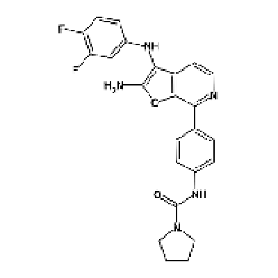 Nc1oc2c(-c3ccc(NC(=O)N4CCCC4)cc3)nccc2c1Nc1ccc(F)c(F)c1